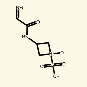 N=CC(=O)NC1C[N+]([O-])(S(=O)(=O)O)C1